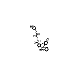 O=C(CCNC(=O)c1ccc(S(=O)(=O)Nc2ccccc2Oc2ccc(Cl)cc2Cl)cc1)NCCC1CCNCC1